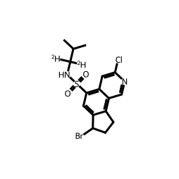 [2H]C([2H])(NS(=O)(=O)c1cc2c(c3cnc(Cl)cc13)CCC2Br)C(C)C